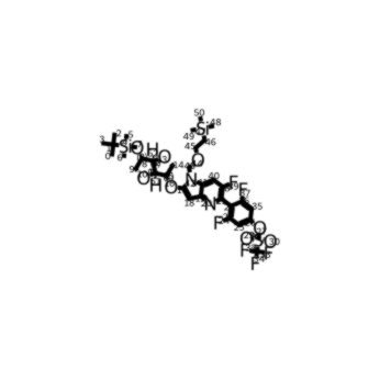 CC(C)(C)[Si](C)(C)O[C@@H]1CO[C@H]2[C@@H]1OC[C@H]2Oc1cc2nc(-c3c(F)cc(OS(=O)(=O)C(F)(F)F)cc3F)c(F)cc2n1COCC[Si](C)(C)C